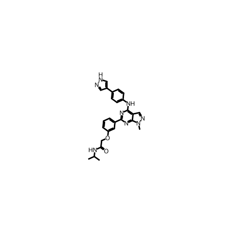 CC(C)NC(=O)COc1cccc(-c2nc(Nc3ccc(-c4cn[nH]c4)cc3)c3cnn(C)c3n2)c1